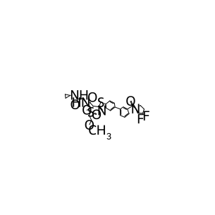 COCCS(=O)(=O)C(C(=O)NCC(=O)NC1CC1)c1nc2cc(-c3cccc(C(=O)N4CCC(F)(F)C4)c3)ccc2s1